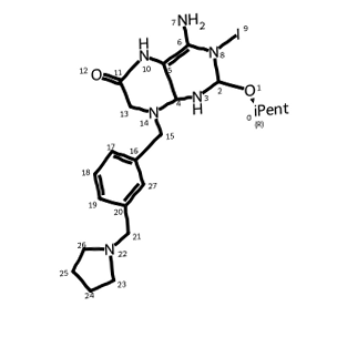 CCC[C@@H](C)OC1NC2C(=C(N)N1I)NC(=O)CN2Cc1cccc(CN2CCCC2)c1